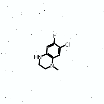 CN1CCNc2cc(F)c(Cl)cc21